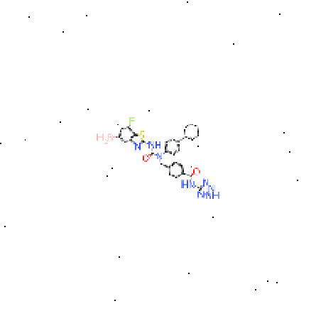 Bc1cc(F)c2sc(NC(=O)N(Cc3ccc(C(=O)Nc4nn[nH]n4)cc3)c3ccc(C4=CCCCC4)cc3)nc2c1